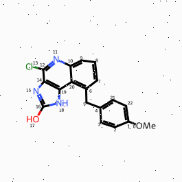 COc1ccc(Cc2cccc3nc(Cl)c4nc(O)[nH]c4c23)cc1